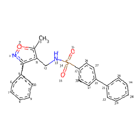 Cc1onc(-c2ccccc2)c1CNS(=O)(=O)c1ccc(-c2ccccc2)cc1